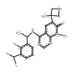 CC(Nc1ncnc2c1cc(C1(C)CNC1)c(=O)n2C)c1cccc(C(F)F)c1F